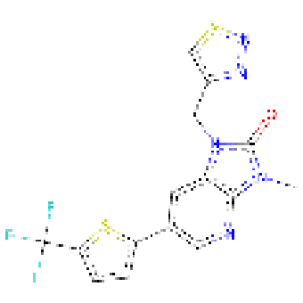 Cn1c(=O)n(Cc2csnn2)c2cc(-c3ccc(C(F)(F)F)s3)cnc21